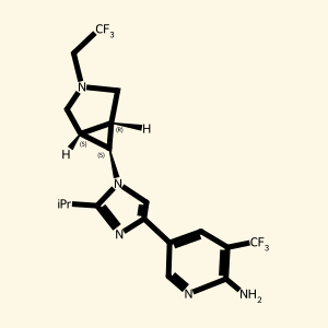 CC(C)c1nc(-c2cnc(N)c(C(F)(F)F)c2)cn1[C@H]1[C@@H]2CN(CC(F)(F)F)C[C@@H]21